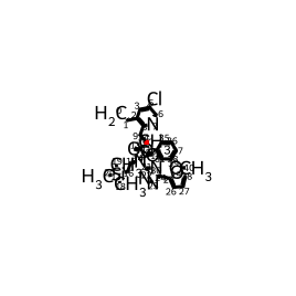 C=Cc1cc(Cl)cnc1CCS(=O)(=O)N(CC[Si](C)(C)C)c1nnc(-c2ccco2)n1-c1c(OC)cccc1OC